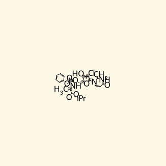 C=C1NC(=O)C=CN1[C@@H]1O[C@H](CO[P@](=O)(N[C@H](C)C(=O)OC(C)C)Oc2ccccc2)[C@@H](O)[C@H]1Cl